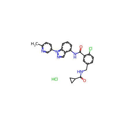 Cc1ccc(-n2ncc3c(NC(=O)c4cc(CNC(=O)C5CC5)ccc4Cl)cccc32)cn1.Cl